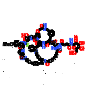 COc1ccc(C[C@@H]2NC(=O)[C@H]([C@@H](C)O)NC(=O)[C@@H]3C4CCN3C(=O)[C@@H]3Cc5cn(c6ccc(F)cc56)CCCCN(Cc5ccc(cc5)CCNC(=O)[C@]5(C)CCCN5C2=O)C(=O)CCCCCC(=O)N[C@H](CNC(=O)CCC(=O)NC2OC(CO)C(O)C(O)C2O)C(=O)N[C@@H](Cc2cccc(c2)CNC(=O)CO4)C(=O)N3)cc1